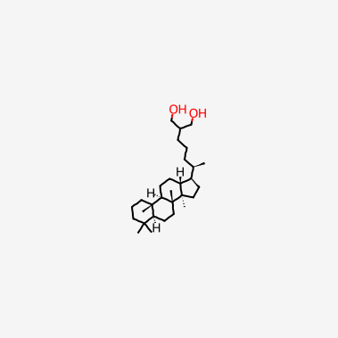 C[C@H](CCCC(CO)CO)[C@H]1CC[C@]2(C)[C@@H]1CC[C@@H]1[C@@]3(C)CCCC(C)(C)[C@@H]3CC[C@]12C